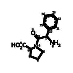 NC(C(=O)N1CCCC1C(=O)O)c1ccccc1